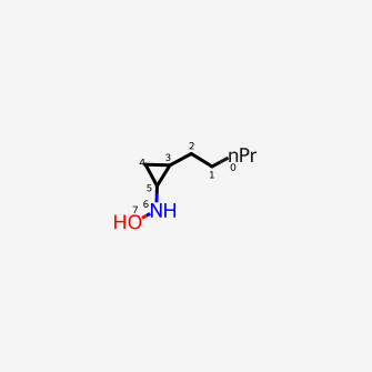 CCCCCC1CC1NO